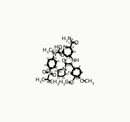 COc1ccc([C@@H](Nc2ccnc(C(N)=O)c2)C(=O)N2CCC[C@@H]2c2cc(N(C)C(=O)O)ccc2S(=O)(=O)C(C)C)cc1OC